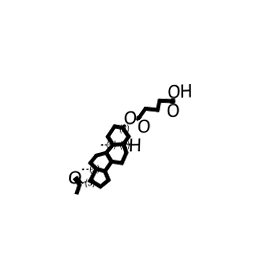 CC(=O)[C@H]1CCC2C3CC[C@@H]4C[C@H](OC(=O)CCCC(=O)O)CC[C@]4(C)C3CC[C@@]21C